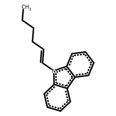 CCCCC=Cn1c2ccccc2c2ccccc21